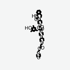 Cc1cc(C[C@@H](OC(=O)N2CCC(N3CCc4ccccc4NC3=O)CC2)C(=O)N2CCN(C3CCN(CCC(=O)OCCN4CCOCC4)CC3)CC2)cc(C)c1O